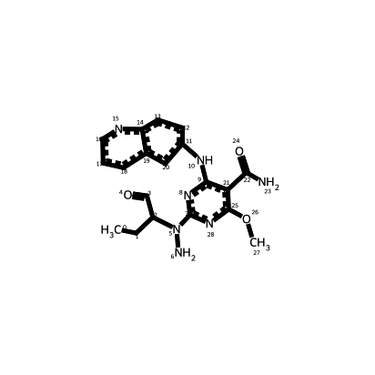 CCC(C=O)N(N)c1nc(Nc2ccc3ncccc3c2)c(C(N)=O)c(OC)n1